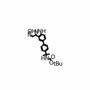 CC(C)(C)OC(=O)NC(C)(C)c1ccc(-c2ccc3[nH]nc(/C=N\O)c3c2)cc1